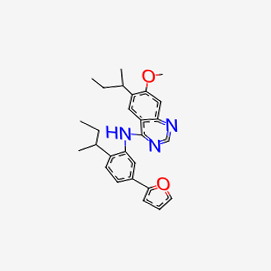 CCC(C)c1ccc(-c2ccco2)cc1Nc1ncnc2cc(OC)c(C(C)CC)cc12